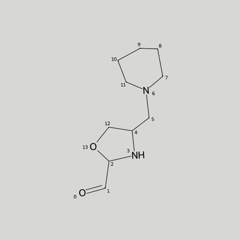 O=CC1NC(CN2CCCCC2)CO1